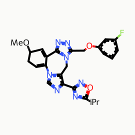 COC1C=C2C(=CC1)n1cnc(-c3noc(C(C)C)n3)c1Cn1c(COc3cccc(F)c3)nnc12